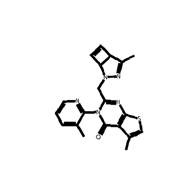 CC1=NN(Cc2nc3scc(C)c3c(=O)n2-c2ncccc2C)C2C=CC12